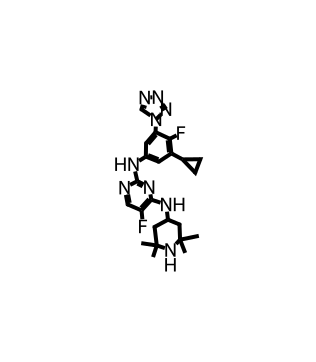 CC1(C)CC(Nc2nc(Nc3cc(C4CC4)c(F)c(-n4cnnn4)c3)ncc2F)CC(C)(C)N1